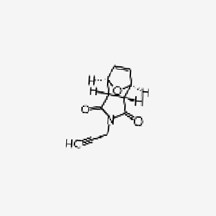 C#CCN1C(=O)[C@@H]2[C@H](C1=O)[C@H]1C=C[C@@H]2O1